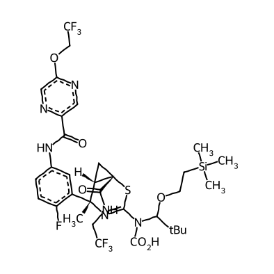 CC(C)(C)C(OCC[Si](C)(C)C)N(C(=O)O)C1=N[C@](C)(c2cc(NC(=O)c3cnc(OCC(F)(F)F)cn3)ccc2F)[C@@H]2C[C@]2(C(=O)NCC(F)(F)F)S1